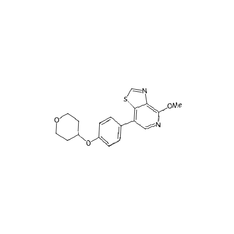 COc1ncc(-c2ccc(OC3CCOCC3)cc2)c2scnc12